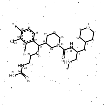 CNCC(CC1CCOCC1)NC(=O)N1CCCC(C(OCCNC(=O)O)c2ccc(F)c(Cl)c2F)C1